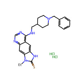 CCn1c(=S)[nH]c2cc3c(NCC4CCN(Cc5ccccc5)CC4)ncnc3cc21.Cl.Cl